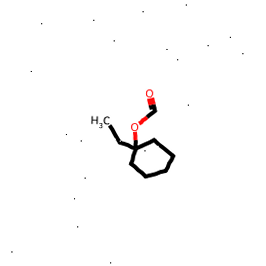 CCC1(OC=O)CCCCC1